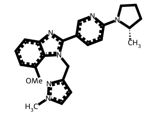 COc1cccc2nc(-c3ccc(N4CCC[C@@H]4C)nc3)n(Cc3ccn(C)n3)c12